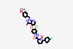 COc1ccc(Cn2nc(I)c3c(Oc4ccc(NC(=O)c5cccc(-c6ccc(F)cc6)[n+]5[O-])cc4Cl)ccnc32)cc1